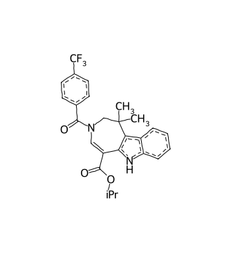 CC(C)OC(=O)C1=CN(C(=O)c2ccc(C(F)(F)F)cc2)CC(C)(C)c2c1[nH]c1ccccc21